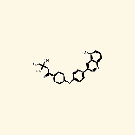 Cc1cccc2ncc(-c3ccc(OC4CCN(C(=O)OC(C)(C)C)CC4)cc3)cc12